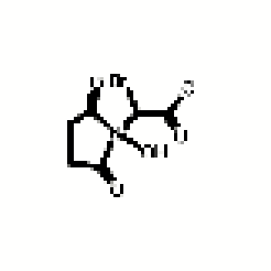 O=C([O-])C(Br)[N+]1(O)C(=O)CCC1=O